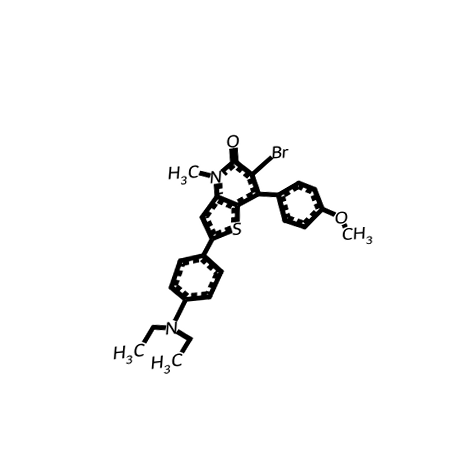 CCN(CC)c1ccc(-c2cc3c(s2)c(-c2ccc(OC)cc2)c(Br)c(=O)n3C)cc1